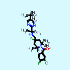 BC(B)(B)c1cnc(C(B)(B)NCC2(F)CC(B)(B)N(C(=O)c3ccc(F)c(Cl)c3)C(B)(B)C2)nc1